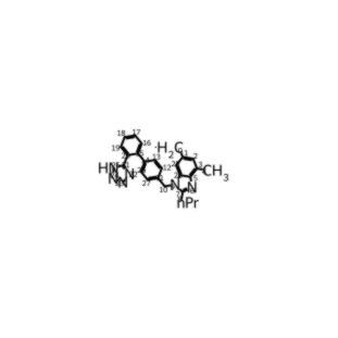 [CH2]c1cc(C)c2nc(CCC)n(Cc3ccc(-c4ccccc4-c4nnn[nH]4)cc3)c2c1